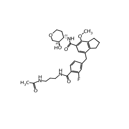 COc1c(C(=O)N[C@H]2CCOC[C@@H]2O)cc(Cc2ccc(C(=O)NCCCNC(C)=O)c(F)c2)c2c1CCC2